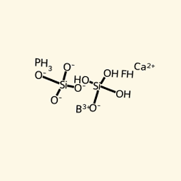 F.P.[B+3].[Ca+2].[O-][Si](O)(O)O.[O-][Si]([O-])([O-])[O-]